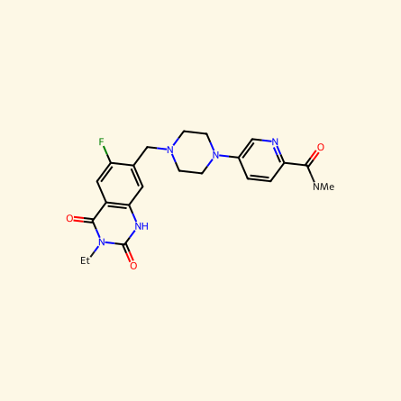 CCn1c(=O)[nH]c2cc(CN3CCN(c4ccc(C(=O)NC)nc4)CC3)c(F)cc2c1=O